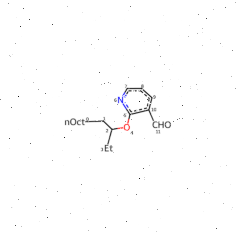 CCCCCCCCCC(CC)Oc1ncccc1C=O